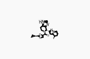 O=C(c1cnc(C2CC2)o1)N1CCc2[nH]cnc2[C@@H]1c1cc2c(F)cccn2n1